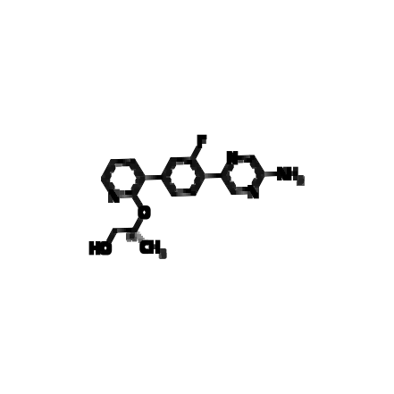 C[C@H](CO)Oc1ncccc1-c1ccc(-c2cnc(N)cn2)c(F)c1